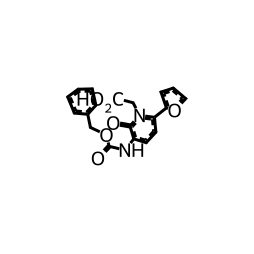 O=C(O)Cn1c(-c2ccco2)ccc(NC(=O)OCc2ccccc2)c1=O